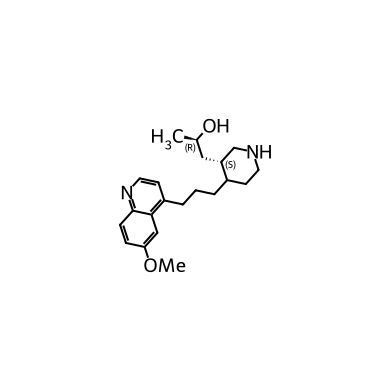 COc1ccc2nccc(CCCC3CCNC[C@H]3C[C@@H](C)O)c2c1